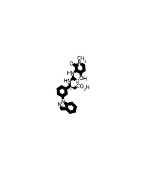 Cn1ccc(O)c(NC(=O)N[C@@H](CC(=O)O)c2cccc(-n3ncc4ccccc43)c2)c1=O